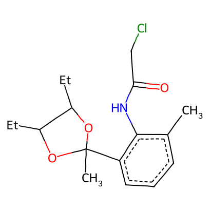 CCC1OC(C)(c2cccc(C)c2NC(=O)CCl)OC1CC